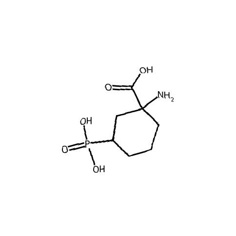 NC1(C(=O)O)CCCC(P(=O)(O)O)C1